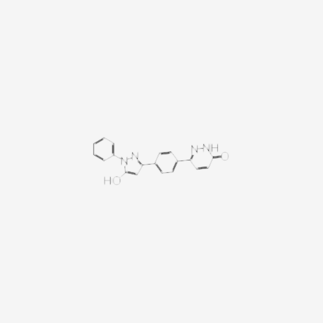 O=c1ccc(-c2ccc(-c3cc(O)n(-c4ccccc4)n3)cc2)n[nH]1